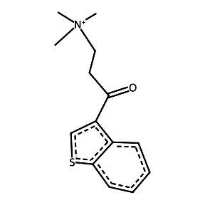 C[N+](C)(C)CCC(=O)c1csc2ccccc12